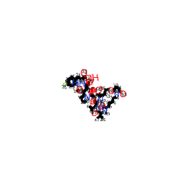 CC[C@H](C)[C@@H]([C@@H](CC(=O)N1CCCC1[C@H](OC)[C@@H](C)C(=O)NC(Cc1ccc(F)cc1)C(=O)O)OC)N(C)C(=O)C(NC(=O)C(C(C)C)N(C)C(=O)CCCCCN1C(=O)C=CC1=O)C(C)C